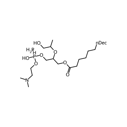 CCCCCCCCCCCCCCCC(=O)OCC(CO[PH](O)(P)OCCN(C)C)OC(C)CO